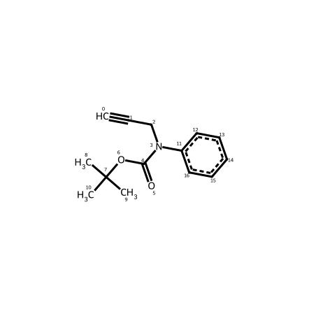 C#CCN(C(=O)OC(C)(C)C)c1ccccc1